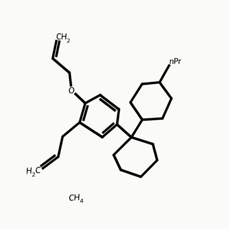 C.C=CCOc1ccc(C2(C3CCC(CCC)CC3)CCCCC2)cc1CC=C